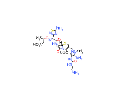 CC(CC(=O)O)ON=C(C(=O)N[C@@H]1C(=O)N2C(C(=O)[O-])=C(C[n+]3cc(NC(=O)NCCN)c(N)n3C)CS[C@H]12)c1nsc(N)n1